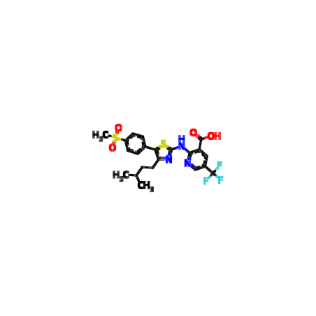 CC(C)CCc1nc(Nc2ncc(C(F)(F)F)cc2C(=O)O)sc1-c1ccc(S(C)(=O)=O)cc1